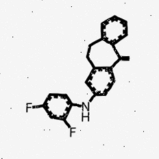 C=C1c2ccccc2CCc2cc(Nc3ccc(F)cc3F)ccc21